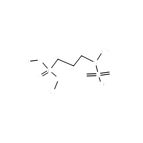 CCCCN(CCCP(=O)(OCC)OCC)S(=O)(=O)C(F)(F)F